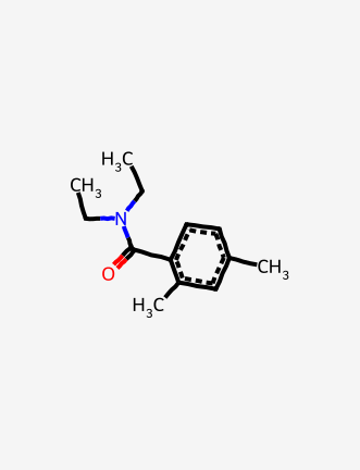 CCN(CC)C(=O)c1ccc(C)cc1C